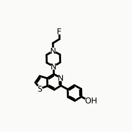 Oc1ccc(-c2cc3sccc3c(N3CCN(CCF)CC3)n2)cc1